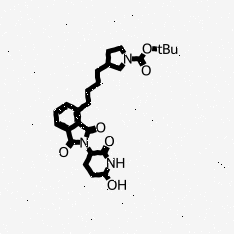 CC(C)(C)OC(=O)N1CCC(CCCCc2cccc3c2C(=O)N(C2CCC(O)NC2=O)C3=O)C1